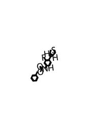 O=C(Nc1ccc(C2[C@H]3CSC[C@@H]23)c(F)c1)OCc1ccccc1